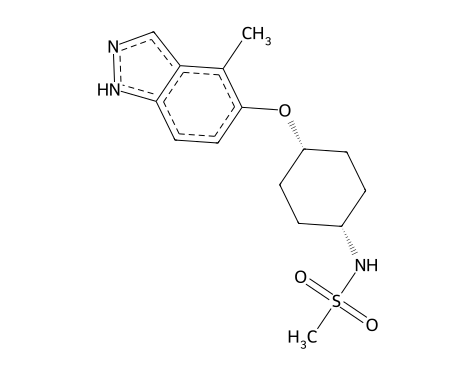 Cc1c(O[C@H]2CC[C@@H](NS(C)(=O)=O)CC2)ccc2[nH]ncc12